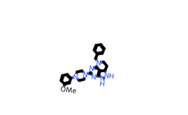 COc1cccc(N2CCN(c3nc4c5c(n3)N(Cc3ccccc3)CCC5NN4)CC2)c1